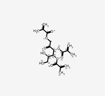 C=C(C)C(=O)OCC(=O)[C@H](OC(=O)C(=C)C)[C@@H](OC(=O)C(=C)C)[C@H](O)CO